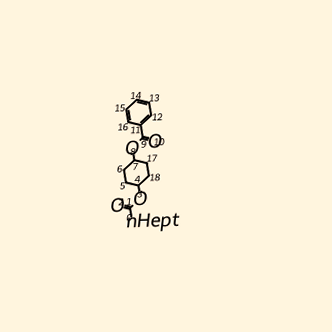 CCCCCCCC(=O)OC1CCC(OC(=O)c2ccccc2)CC1